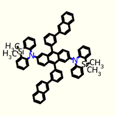 C[Si]1(C)c2ccccc2N(c2ccc3c(-c4cccc(-c5ccc6ccccc6c5)c4)c4cc(N5c6ccccc6[Si](C)(C)c6ccccc65)ccc4c(-c4cccc(-c5ccc6ccccc6c5)c4)c3c2)c2ccccc21